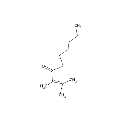 CCCCCCC(=O)C(C)=C(C)C